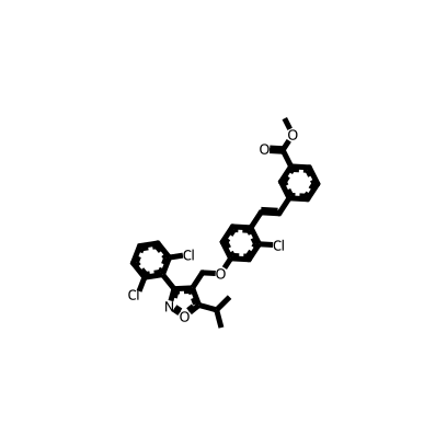 COC(=O)c1cccc(C=Cc2ccc(OCc3c(-c4c(Cl)cccc4Cl)noc3C(C)C)cc2Cl)c1